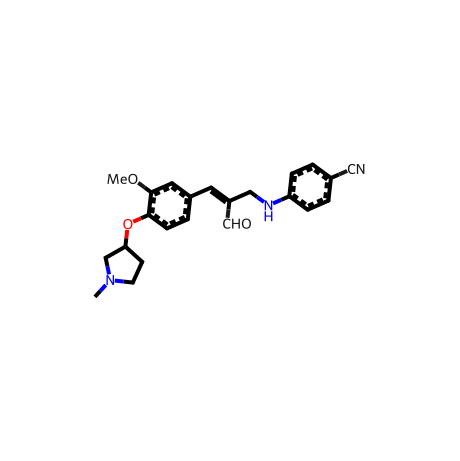 COc1cc(/C=C(\C=O)CNc2ccc(C#N)cc2)ccc1OC1CCN(C)C1